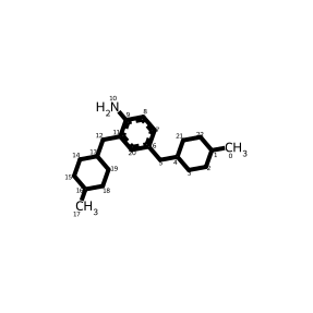 CC1CCC(Cc2ccc(N)c(CC3CCC(C)CC3)c2)CC1